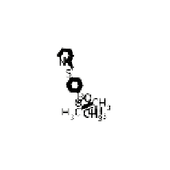 CC1(C)OB(c2ccc(SCc3ccccn3)cc2)OC1(C)C